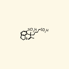 CC1=CN2CCc3ccc(S(=O)(=O)O)c(c32)C1(C)CCCCS(=O)(=O)O